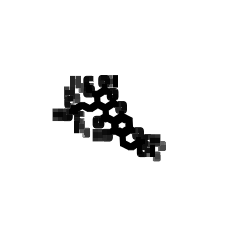 COC1C(O)OC2Oc3cc4c(c(O)c3C(=O)C2C1CCC(C)(C)O)CCC(C)(C)O4